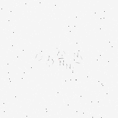 O=C(c1csc(-c2cccs2)n1)N1CCN2C(=O)c3cccnc3C[C@]12c1ccc(Cl)cc1